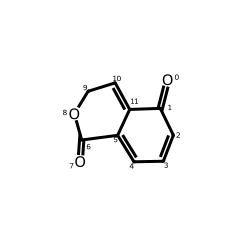 O=C1C=CC=C2C(=O)OCC=C12